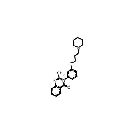 Cc1nc2ccccc2c(=O)n1-c1cccc(OCCCN2CCCCC2)c1